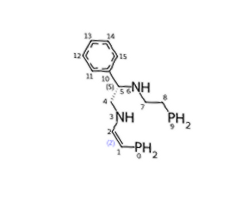 P/C=C\NC[C@@H](NCCP)c1ccccc1